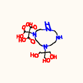 O=C(O)C(C(=O)O)(C(=O)O)N1CCNCCNCCN(C(CO)(CO)CO)CC1